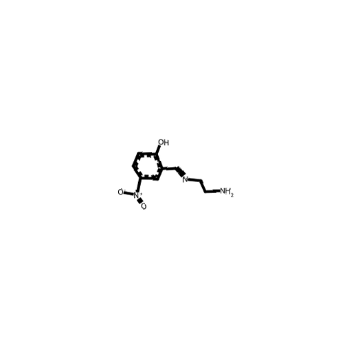 NCCN=Cc1cc([N+](=O)[O-])ccc1O